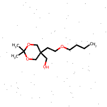 CCCCOCCC1(CO)COC(C)(C)OC1